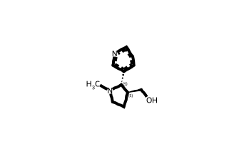 CN1CC[C@H](CO)[C@H]1c1cccnc1